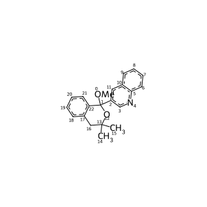 COC1(c2cnc3ccccc3c2)OC(C)(C)Cc2ccccc21